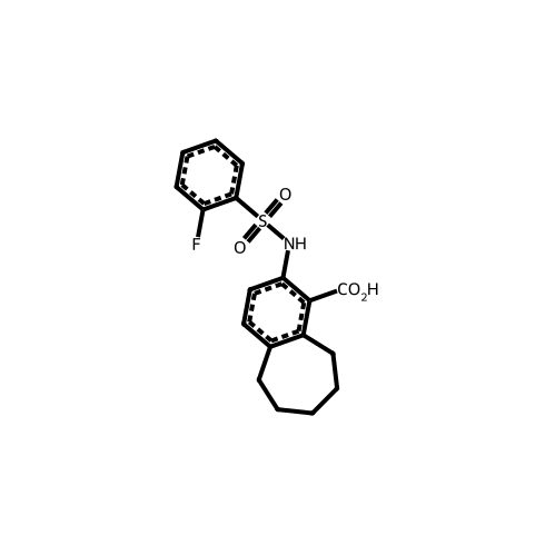 O=C(O)c1c(NS(=O)(=O)c2ccccc2F)ccc2c1CCCCC2